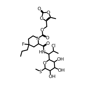 CCCC1(F)CCN(C(=O)OCc2oc(=O)oc2C)C(C(=O)NC(C(C)Cl)C2OC(SC)C(O)C(O)C2O)C1